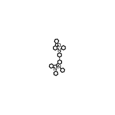 c1ccc(N(c2ccc(-c3ccc4c(c3)c3c5ccccc5n(-c5ccccc5)c3n4-c3ccccc3)cc2)c2cccc3c2oc2ccccc23)cc1